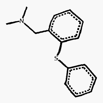 CN(C)Cc1ccccc1Sc1ccccc1